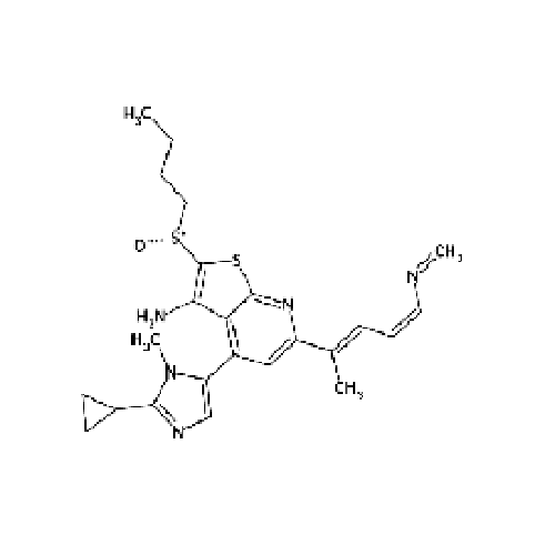 C=N/C=C\C=C(/C)c1cc(-c2cnc(C3CC3)n2C)c2c(N)c([S@+]([O-])CCCC)sc2n1